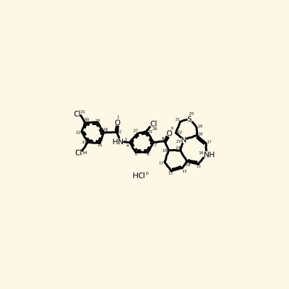 Cl.O=C(Nc1ccc(C(=O)C2CC=CC3=CNC=C4CSCCN4C32)c(Cl)c1)c1cc(Cl)cc(Cl)c1